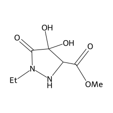 CCN1NC(C(=O)OC)C(O)(O)C1=O